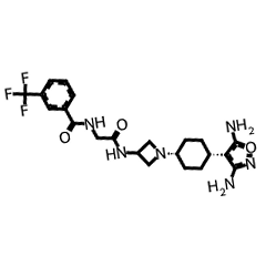 Nc1noc(N)c1[C@H]1CC[C@@H](N2CC(NC(=O)CNC(=O)c3cccc(C(F)(F)F)c3)C2)CC1